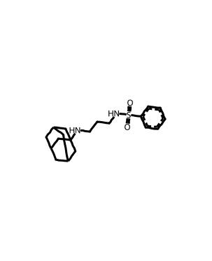 O=S(=O)(NCCCNC12CC3CC(CC(C3)C1)C2)c1ccccc1